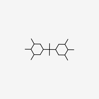 CC1CC(C(C)(C)C2CC(C)C(C)C(C)C2)CC(C)C1C